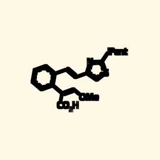 CCCC(C)c1nc(C=Cc2ccccc2C(=COC)C(=O)O)cs1